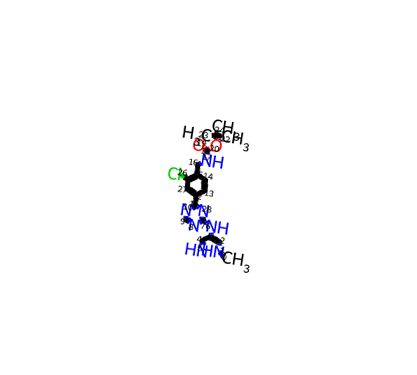 CN/C=C(\C=N)Nc1ncnc(-c2ccc(CNC(=O)OC(C)(C)C)c(Cl)c2)n1